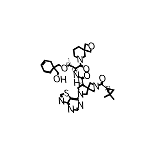 C[C@@H](OCC1(CO)CC=CCC1)[C@H](NC(=O)[C@@H]1CN(c2ncnc3ncsc23)CC12CN(C(=O)[C@H]1CC1(C)C)C2)C(=O)N1CCCC2(COC2)C1